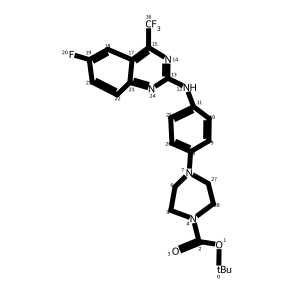 CC(C)(C)OC(=O)N1CCN(c2ccc(Nc3nc(C(F)(F)F)c4cc(F)ccc4n3)cc2)CC1